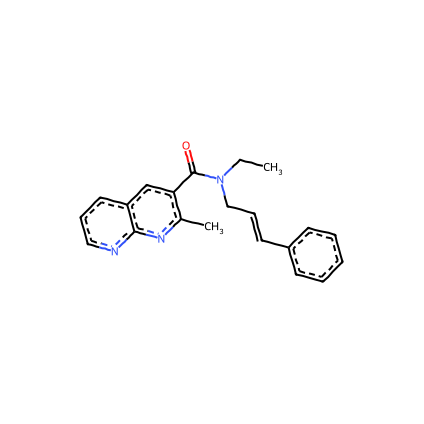 CCN(C/C=C/c1ccccc1)C(=O)c1cc2cccnc2nc1C